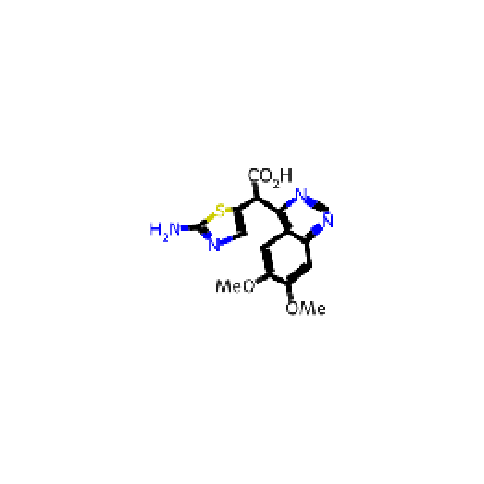 COc1cc2ncnc(C(C(=O)O)c3cnc(N)s3)c2cc1OC